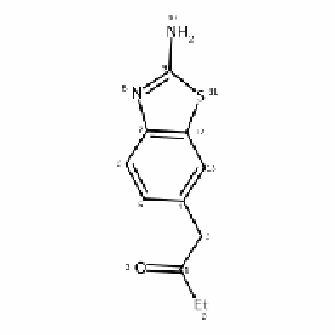 CCC(=O)Cc1ccc2nc(N)sc2c1